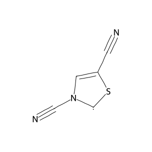 N#CC1=CN(C#N)[CH]S1